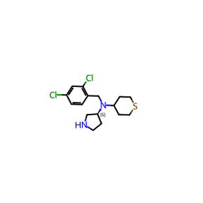 Clc1ccc(CN(C2CCSCC2)[C@H]2CCNC2)c(Cl)c1